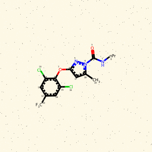 CCCNC(=O)n1nc(Oc2c(Cl)cc(C(F)(F)F)cc2Cl)cc1C